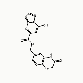 O=C1COc2ccc(CNC(=O)c3cc(O)n4nccc4n3)cc2N1